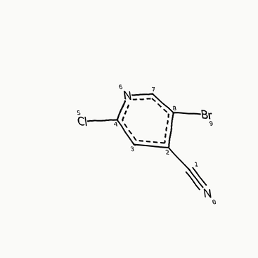 N#Cc1cc(Cl)ncc1Br